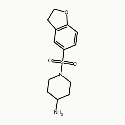 NC1CCN(S(=O)(=O)c2ccc3c(c2)CCO3)CC1